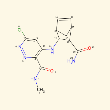 CNC(=O)c1nnc(Cl)cc1NC1C2C=CC(C2)C1C(N)=O